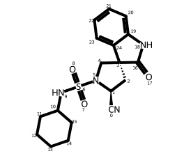 N#C[C@@H]1C[C@@]2(CN1S(=O)(=O)NC1CCCCC1)C(=O)Nc1ccccc12